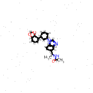 CC(=O)N[C@H](C)c1ccc2c(c1)ncn2-c1cccc(-c2cccc3c2OCO3)c1